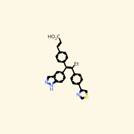 CCC(=C(c1ccc(C=CC(=O)O)cc1)c1ccc2[nH]ncc2c1)c1ccc(-c2cscn2)cc1